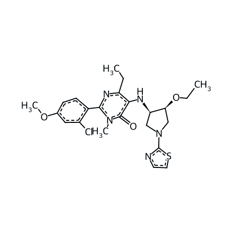 CCO[C@H]1CN(c2nccs2)C[C@H]1Nc1c(CC)nc(-c2ccc(OC)cc2Cl)n(C)c1=O